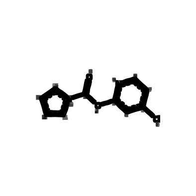 O=C(Oc1cc(Cl)ccn1)n1cccc1